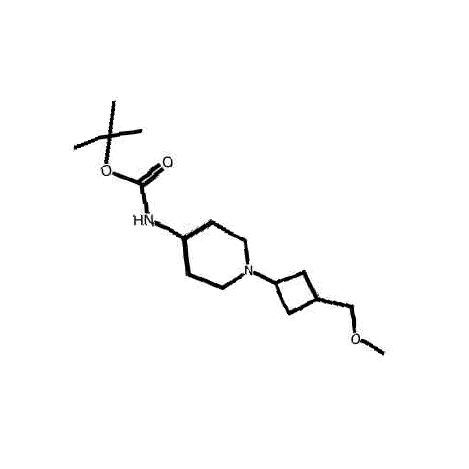 COCC1CC(N2CCC(NC(=O)OC(C)(C)C)CC2)C1